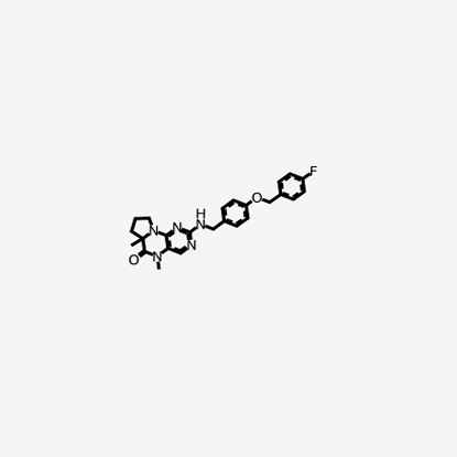 CN1C(=O)C2(C)CCCN2c2nc(NCc3ccc(OCc4ccc(F)cc4)cc3)ncc21